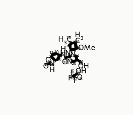 COc1cc(NC2(C(=O)Nc3ccc4oc(=O)[nH]c4c3)N=CC(CO)=CN2)cc(C)c1C.O=C(O)C(F)(F)F